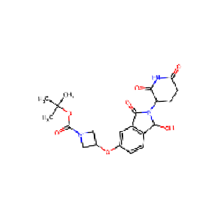 CC(C)(C)OC(=O)N1CC(Oc2ccc3c(c2)C(=O)N(C2CCC(=O)NC2=O)C3O)C1